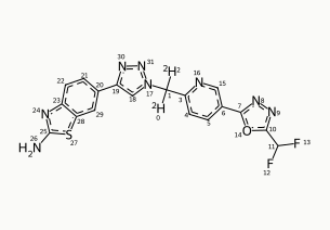 [2H]C([2H])(c1ccc(-c2nnc(C(F)F)o2)cn1)n1cc(-c2ccc3nc(N)sc3c2)nn1